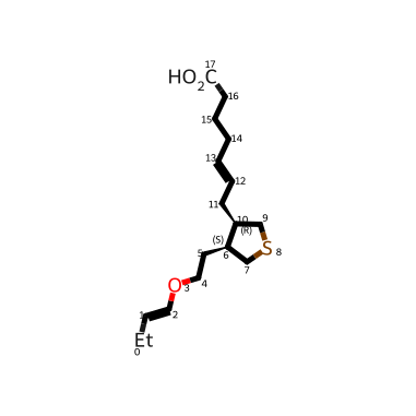 CCC=COCC[C@@H]1CSC[C@@H]1CC=CCCCC(=O)O